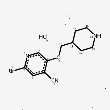 Cl.N#Cc1cc(Br)ncc1OCC1CCNCC1